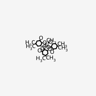 C=C[Si](OC1C(=O)CC(C)(C)CC1=O)(OC1C(=O)CC(C)(C)CC1=O)OC1C(=O)CC(C)(C)CC1=O